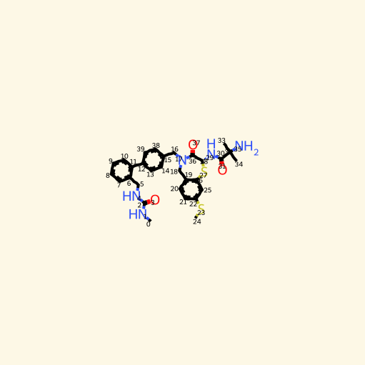 CNC(=O)NCc1ccccc1-c1ccc(CN2Cc3ccc(SC)cc3S[C@@H](NC(=O)C(C)(C)N)C2=O)cc1